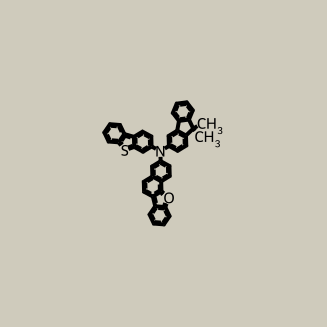 CC1(C)c2ccccc2-c2cc(N(c3ccc4c(ccc5c6ccccc6oc45)c3)c3ccc4c(c3)sc3ccccc34)ccc21